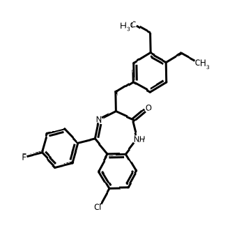 CCc1ccc(CC2N=C(c3ccc(F)cc3)c3cc(Cl)ccc3NC2=O)cc1CC